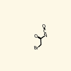 O=C=NC(=O)CBr